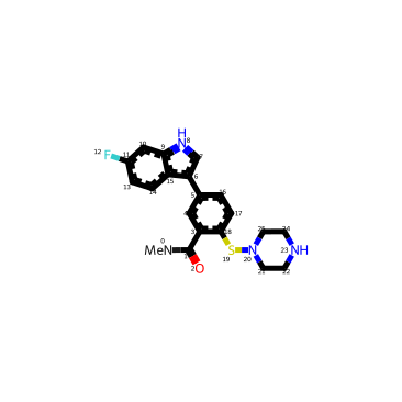 CNC(=O)c1cc(-c2c[nH]c3cc(F)ccc23)ccc1SN1CCNCC1